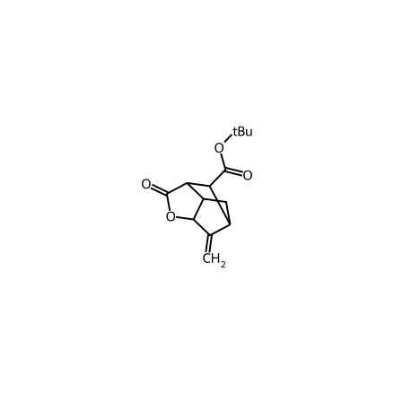 C=C1C2CC3C1OC(=O)C3C2C(=O)OC(C)(C)C